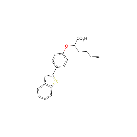 C=CCCC(Oc1ccc(-c2cc3ccccc3s2)cc1)C(=O)O